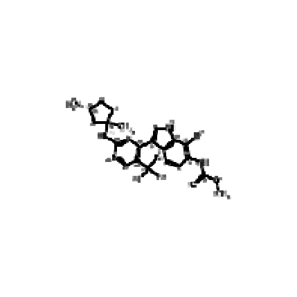 COC(=O)Nc1ccc2c(-c3nc(NC4(C)CC[C@@H](N)C4)ncc3C(F)(F)F)c[nH]c2c1Br